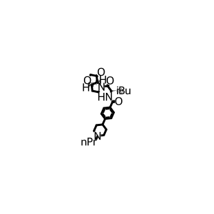 CCCN1CCC(c2ccc(C(=O)NC(C(=O)N3CC[C@H]4OCC(=O)[C@H]43)[C@@H](C)CC)cc2)CC1